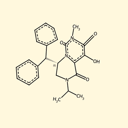 CC(C)N1C[C@H](C(c2ccccc2)c2ccccc2)n2c(c(O)c(=O)n(C)c2=O)C1=O